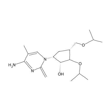 C=C1N=C(N)C(C)=CN1[C@@H]1C[C@H](COC(C)C)C(OC(C)C)[C@@H]1O